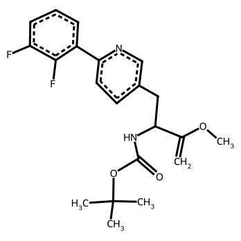 C=C(OC)C(Cc1ccc(-c2cccc(F)c2F)nc1)NC(=O)OC(C)(C)C